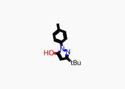 Cc1ccc(-n2nc(C(C)(C)C)cc2O)cc1